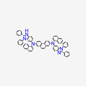 c1ccc(-c2nc3ccc(N(c4ccc5c(ccc6cc(N(c7ccc8c(c7)N(c7ccccc7)C(c7ccccc7)N8)c7cccc8ccccc78)ccc65)c4)c4cccc5ccccc45)cc3n2-c2ccccc2)cc1